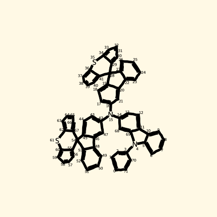 c1ccc(-n2c3ccccc3c3ccc(N(c4ccc5c(c4)-c4ccccc4C54c5ccccc5Sc5ccccc54)c4ccc5c(c4)-c4ccccc4C54c5ccccc5Sc5ccccc54)cc32)cc1